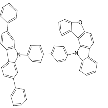 c1ccc(-c2ccc3c4ccc(-c5ccccc5)cc4n(-c4ccc(-c5ccc(-n6c7ccccc7c7ccc8oc9ccccc9c8c76)cc5)cc4)c3c2)cc1